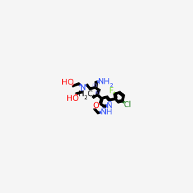 C=C/C(=C\C(=C/N)CCN(CCO)CCO)c1cc(-c2cc(Cl)ccc2F)nc2c1OCCN2